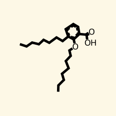 CCCCCCCCOc1c(CCCCCCCC)cccc1C(=O)O